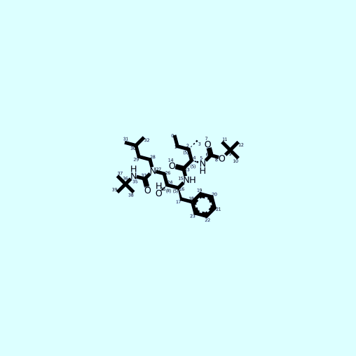 CC[C@H](C)[C@H](NC(=O)OC(C)(C)C)C(=O)N[C@@H](Cc1ccccc1)[C@H](O)CN(CCC(C)C)C(=O)NC(C)(C)C